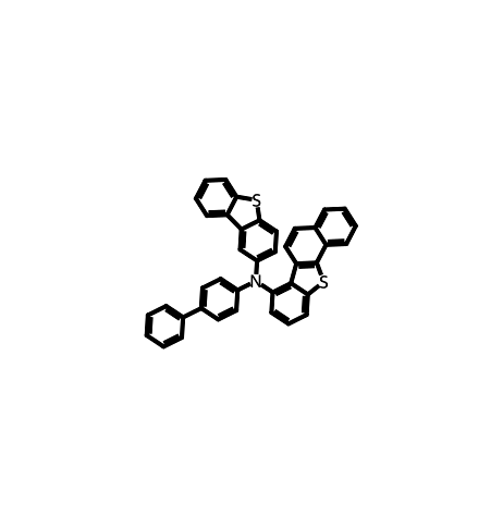 c1ccc(-c2ccc(N(c3ccc4sc5ccccc5c4c3)c3cccc4sc5c6ccccc6ccc5c34)cc2)cc1